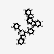 c1ccc(-c2nc(-c3cccc(-n4c5ccccc5c5c6sc7ccccc7c6ccc54)c3)c3sc4ccccc4c3n2)cc1